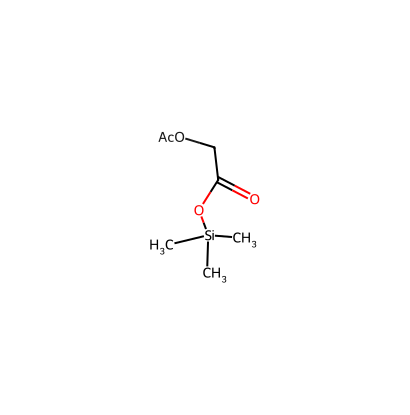 CC(=O)OCC(=O)O[Si](C)(C)C